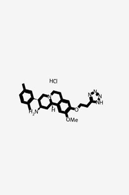 COc1cc2c(cc1OCCc1nnn[nH]1)CCN1C[C@@H](c3cc(C)ccc3C)[C@H](N)C[C@H]21.Cl